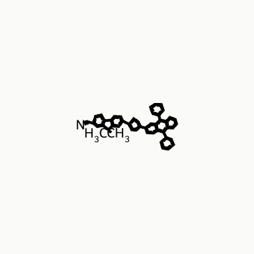 CC1(C)c2cc(C#N)ccc2-c2ccc(-c3ccc(-c4ccc5c(-c6ccccc6)c6ccccc6c(-c6ccccc6)c5c4)cc3)cc21